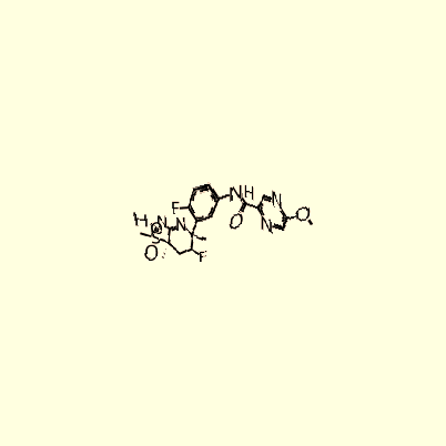 COc1cnc(C(=O)Nc2ccc(F)c([C@@]3(C)N=C(N)[C@](C)(S(C)(=O)=O)C[C@@H]3F)c2)cn1